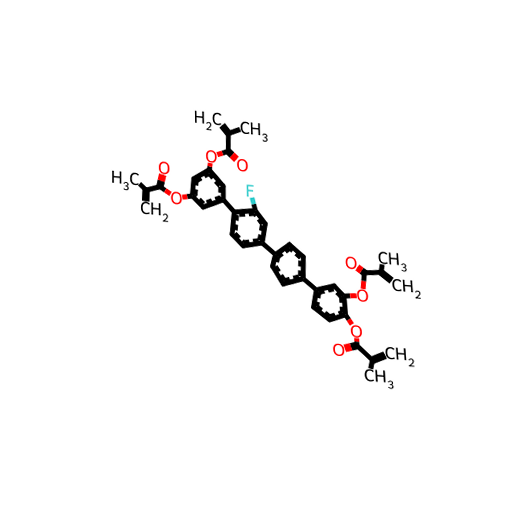 C=C(C)C(=O)Oc1cc(OC(=O)C(=C)C)cc(-c2ccc(-c3ccc(-c4ccc(OC(=O)C(=C)C)c(OC(=O)C(=C)C)c4)cc3)cc2F)c1